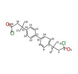 CC(C)(CC(=O)Cl)c1ccc(-c2ccc(C(C)(C)CC(=O)Cl)cc2)cc1